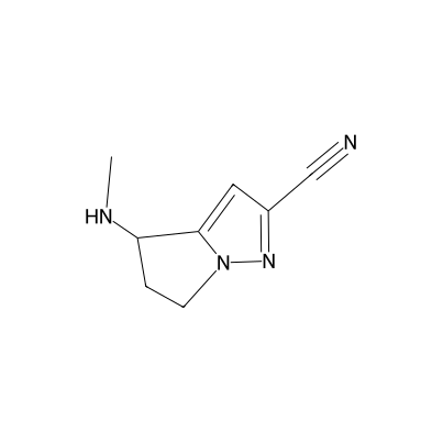 CNC1CCn2nc(C#N)cc21